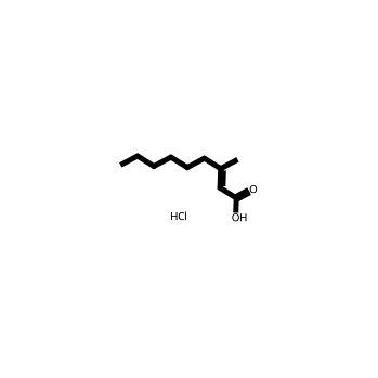 CCCCCCC(C)=CC(=O)O.Cl